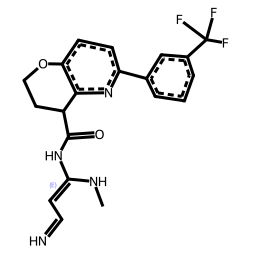 CN/C(=C\C=N)NC(=O)C1CCOc2ccc(-c3cccc(C(F)(F)F)c3)nc21